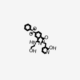 O=c1c2ccc(S(=O)(=O)c3ccccc3)cc2c(NCCO)nn1Cc1cccnc1O